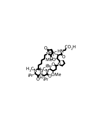 CC[C@H](C)[C@@H]([C@@H](CC(=O)N1CCC[C@H]1[C@H](OC)[C@@H](C)C(=O)NCC(=O)O)OC)N(C)C(=O)[C@@H](NC(=O)[C@H](C(C)C)N(C)C(=O)CCCCCN1C(=O)C=CC1=O)C(C)C